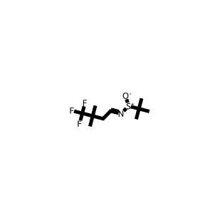 CC(C)(C)[S+]([O-])/N=C/CC(C)(C)C(F)(F)F